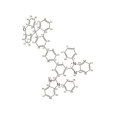 c1ccc(-n2c(-c3cc(-c4ccc(-c5ccc6c(c5)-c5ccccc5C65c6ccccc6Oc6ccccc65)cc4)cc(-c4nc5ccccc5n4-c4ccccc4)c3)nc3ccccc32)cc1